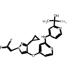 CC(C)(O)c1cc(Nc2cc(Oc3cn(CC(F)F)nc3C3CC3)ccn2)ccn1